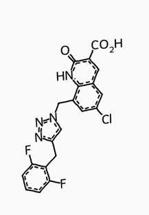 O=C(O)c1cc2cc(Cl)cc(Cn3cc(Cc4c(F)cccc4F)nn3)c2[nH]c1=O